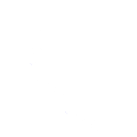 Cc1ccc(-c2ccc(-c3ncc(-c4ccc5cc6cc(-c7cnc(-c8ccc(-c9ccc(C)cc9)cc8)s7)ccc6cc5c4)s3)cc2)cc1